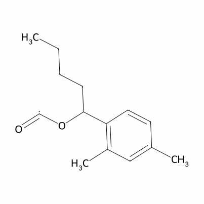 CCCCC(O[C]=O)c1ccc(C)cc1C